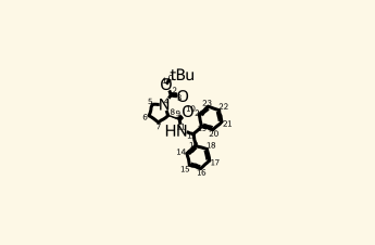 CC(C)(C)OC(=O)N1CCC[C@@H]1C(=O)NC(c1ccccc1)c1ccccc1